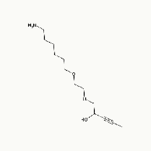 CC#CC(O)COCCOCCCCCCN